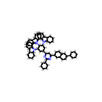 c1ccc(-c2ccc3cc(-c4cc(-c5cc(-n6c7ccccc7c7ccccc76)c(-n6c7ccccc7c7ccccc76)c(-n6c7ccccc7c7ccccc76)c5)nc(-c5ccccc5)n4)ccc3c2)cc1